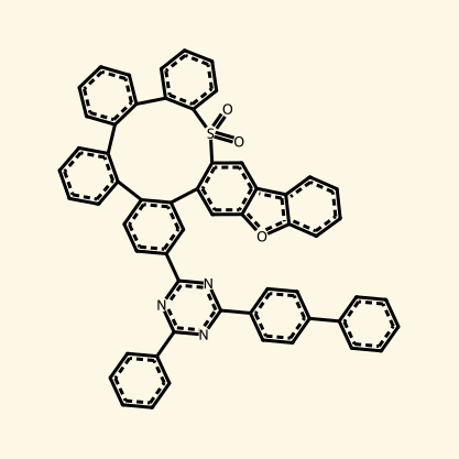 O=S1(=O)c2ccccc2-c2ccccc2-c2ccccc2-c2ccc(-c3nc(-c4ccccc4)nc(-c4ccc(-c5ccccc5)cc4)n3)cc2-c2cc3oc4ccccc4c3cc21